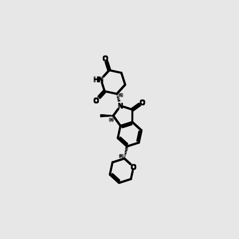 C[C@@H]1c2cc([C@H]3CC=CCO3)ccc2C(=O)N1[C@H]1CCC(=O)NC1=O